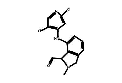 CN1Cc2cccc(Nc3cc(Cl)ncc3Cl)c2C1C=O